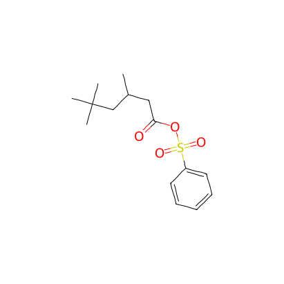 CC(CC(=O)OS(=O)(=O)c1ccccc1)CC(C)(C)C